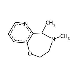 CC1c2ncccc2OCCN1C